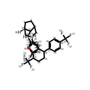 Cc1nnc(N2CC3CC[C@@H](C2)[C@@H]3Nc2nc3n(n2)C(C(F)(F)F)CCC3c2ccc(C(F)(F)F)cc2)o1